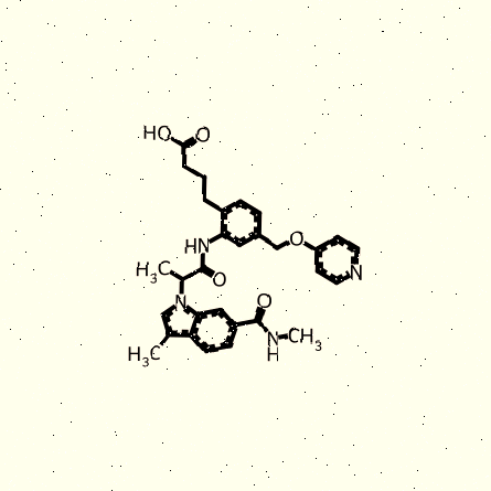 CNC(=O)c1ccc2c(C)cn(C(C)C(=O)Nc3cc(COc4ccncc4)ccc3CCCC(=O)O)c2c1